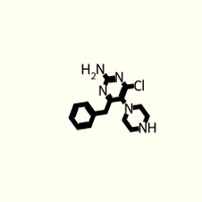 Nc1nc(Cl)c(N2CCNCC2)c(Cc2ccccc2)n1